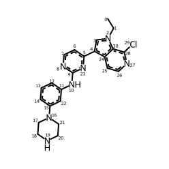 CCn1cc(-c2ccnc(Nc3cccc(N4CCNCC4)c3)n2)c2ccnc(Cl)c21